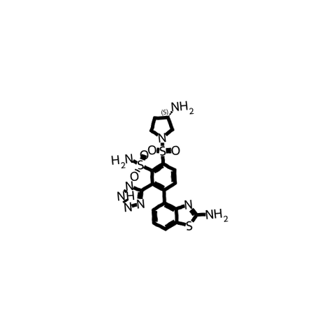 Nc1nc2c(-c3ccc(S(=O)(=O)N4CC[C@H](N)C4)c(S(N)(=O)=O)c3-c3nnn[nH]3)cccc2s1